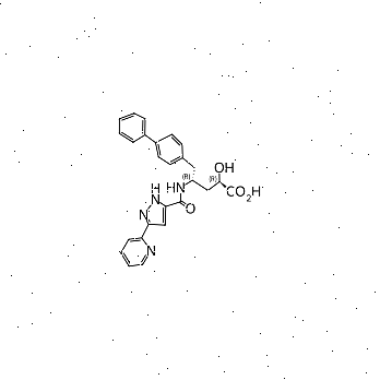 O=C(N[C@H](Cc1ccc(-c2ccccc2)cc1)C[C@@H](O)C(=O)O)c1cc(-c2ccccn2)n[nH]1